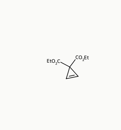 CCOC(=O)C1(C(=O)OCC)C=C1